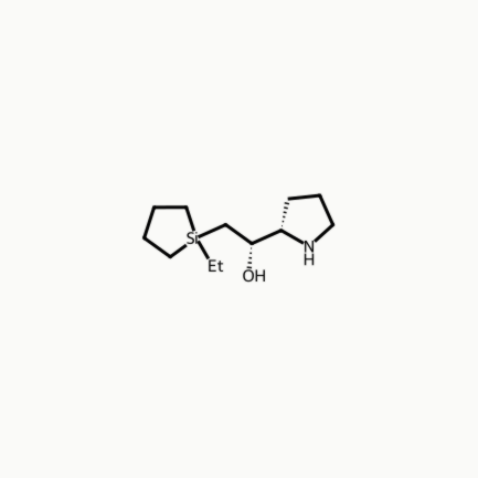 CC[Si]1(C[C@@H](O)[C@@H]2CCCN2)CCCC1